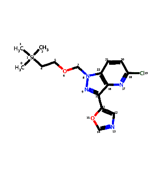 C[Si](C)(C)CCOCn1nc(-c2cnco2)c2nc(Cl)ccc21